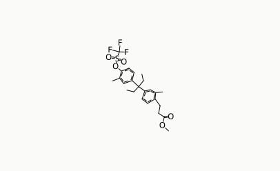 CCC(CC)(c1ccc(CCC(=O)OC)c(C)c1)c1ccc(OS(=O)(=O)C(F)(F)F)c(C)c1